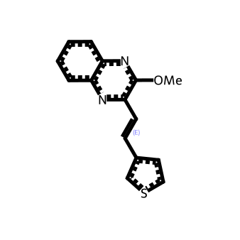 COc1nc2ccccc2nc1/C=C/c1ccsc1